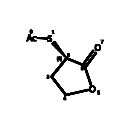 CC(=O)S[C@@H]1CCOC1=O